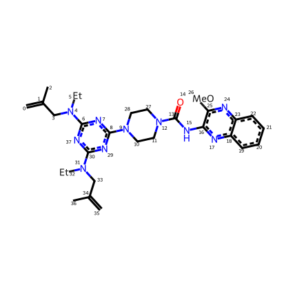 C=C(C)CN(CC)c1nc(N2CCN(C(=O)Nc3nc4ccccc4nc3OC)CC2)nc(N(CC)CC(=C)C)n1